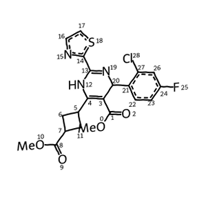 COC(=O)C1=C(C2CC(C(=O)OC)C2)NC(c2nccs2)=NC1c1ccc(F)cc1Cl